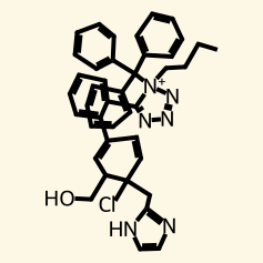 CCCC[N+]1(C(c2ccccc2)(c2ccccc2)c2ccccc2)N=NN=C1c1ccccc1C1=CC(CO)C(Cl)(Cc2ncc[nH]2)C=C1